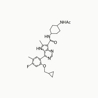 CC(=O)NC1CCC(NC(=O)c2c(C)[nH]c3c(-c4cc(C)c(F)cc4OCC4CC4)ncnc23)CC1